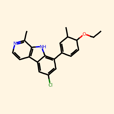 CCOC1C=CC(c2cc(Cl)cc3c2[nH]c2c(C)nccc23)=CC1C